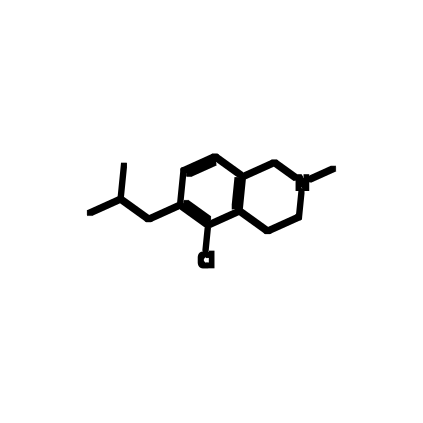 CC(C)Cc1ccc2c(c1Cl)CCN(C)C2